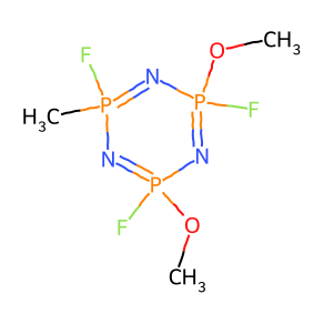 COP1(F)=NP(C)(F)=NP(F)(OC)=N1